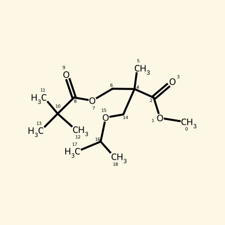 COC(=O)C(C)(COC(=O)C(C)(C)C)COC(C)C